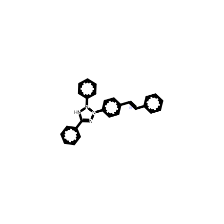 C(=C\c1ccc(N2N=C(c3ccccc3)NN2c2ccccc2)cc1)/c1ccccc1